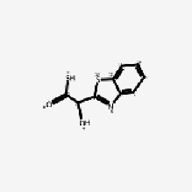 O=C(S)C(O)c1nc2ccccc2s1